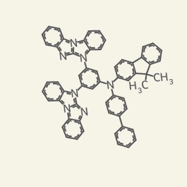 CC1(C)c2ccccc2-c2ccc(N(c3ccc(-c4ccccc4)cc3)c3cc(-n4c5ccccc5n5c6ccccc6nc45)cc(-n4c5ccccc5n5c6ccccc6nc45)c3)cc21